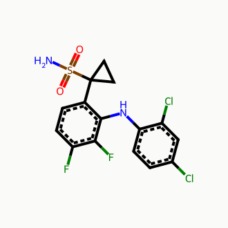 NS(=O)(=O)C1(c2ccc(F)c(F)c2Nc2ccc(Cl)cc2Cl)CC1